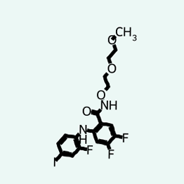 COCCOCCONC(=O)c1cc(F)c(F)cc1Nc1ccc(I)cc1F